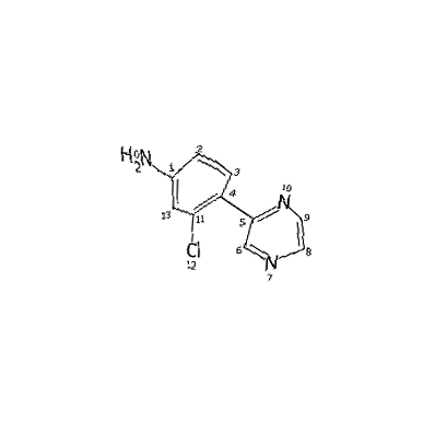 Nc1ccc(-c2cnccn2)c(Cl)c1